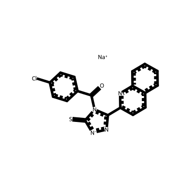 O=C(c1ccc(Cl)cc1)n1c(-c2ccc3ccccc3n2)n[n-]c1=S.[Na+]